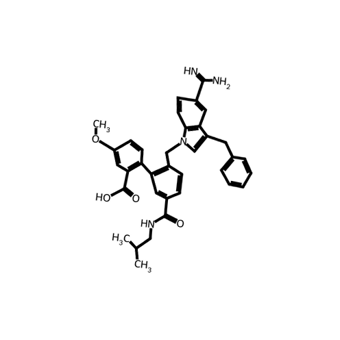 COc1ccc(-c2cc(C(=O)NCC(C)C)ccc2Cn2cc(Cc3ccccc3)c3cc(C(=N)N)ccc32)c(C(=O)O)c1